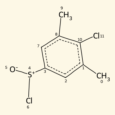 Cc1cc([S+]([O-])Cl)cc(C)c1Cl